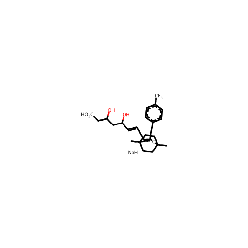 CC12CCC(C)(CC1)C(/C=C/C(O)CC(O)CC(=O)O)=C(c1ccc(C(F)(F)F)cc1)C2.[NaH]